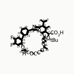 C=C(C)c1c(C)c([C@H](OC(C)(C)C)C(=O)O)c2n3cc(nc13)-c1cccc(c1)-c1cc(F)c(F)cc1O[C@@H](C)COCCOC1(C)CCN2CC1